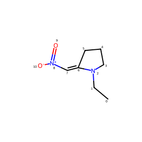 CCN1CCCC1=C[N+](=O)[O-]